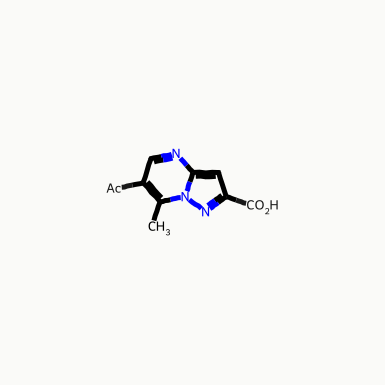 CC(=O)c1cnc2cc(C(=O)O)nn2c1C